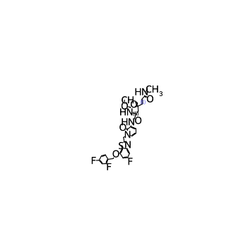 CNC(=O)/C=C/CC[C@H](NC(=O)OC)C(=O)Nc1cccn(Cc2nc3cc(F)cc(OCc4ccc(F)cc4F)c3s2)c1=O